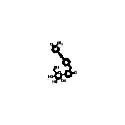 Cn1cc(C#Cc2ccc(Cc3cc([C@@H]4O[C@H](CO)[C@@H](O)[C@H](O)[C@H]4O)ccc3Cl)cc2)ccc1=O